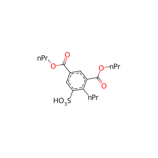 CCCOC(=O)c1cc(C(=O)OCCC)c(CCC)c(S(=O)(=O)O)c1